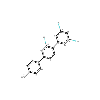 CCCc1ccc(-c2ccc(-c3cc(F)cc(F)c3)c(F)c2)cc1